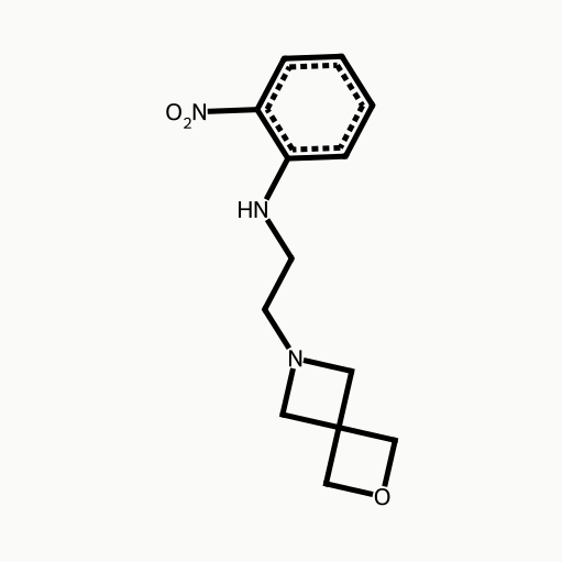 O=[N+]([O-])c1ccccc1NCCN1CC2(COC2)C1